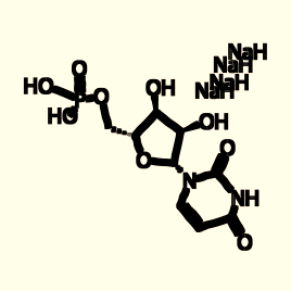 O=c1ccn([C@@H]2O[C@H](COP(=O)(O)O)[C@@H](O)[C@H]2O)c(=O)[nH]1.[NaH].[NaH].[NaH].[NaH]